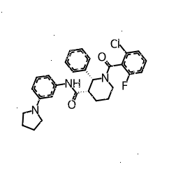 O=C(Nc1cccc(N2CCCC2)c1)[C@H]1CCCN(C(=O)c2c(F)cccc2Cl)[C@H]1c1ccccc1